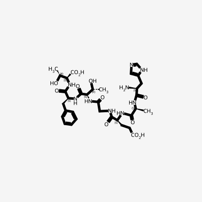 C[C@H](NC(=O)[C@@H](N)Cc1cnc[nH]1)C(=O)N[C@@H](CCC(=O)O)C(=O)NCC(=O)N[C@H](C(=O)N[C@@H](Cc1ccccc1)C(=O)N[C@H](C(=O)O)[C@@H](C)O)[C@@H](C)O